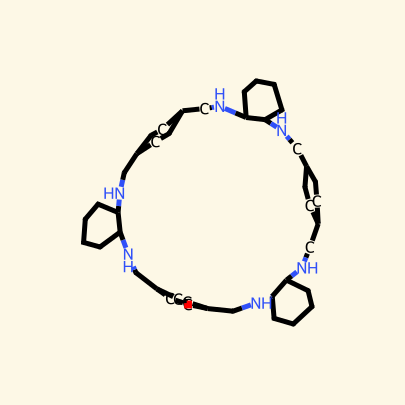 C1CCC2NCC3CCC(CC3)CNC3CCCCC3NCC3CCC(CC3)CNC3CCCCC3NCC3CCC(CC3)CNC2C1